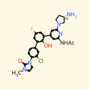 CC(=O)Nc1cc(-c2cc(F)cc(-c3ccc(-n4ccn(C)c4=O)c(Cl)c3)c2O)cc(N2CC[C@H](N)C2)n1